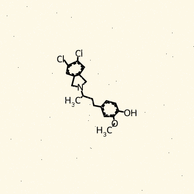 COc1cc(CC[C@@H](C)N2Cc3cc(Cl)c(Cl)cc3C2)ccc1O